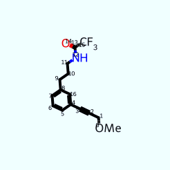 COCC#Cc1cccc(CCCNC(=O)C(F)(F)F)c1